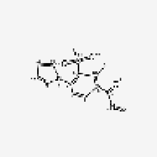 C=NC(=O)c1ccc(-n2cccc2)c(S(C)(=O)=O)c1C